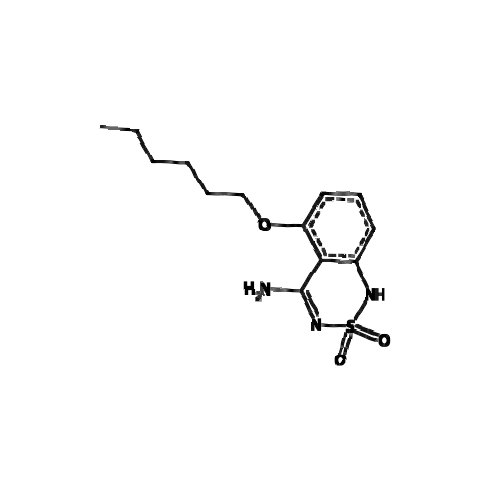 CCCCCCOc1cccc2c1C(N)=NS(=O)(=O)N2